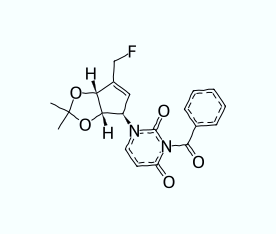 CC1(C)O[C@@H]2[C@H](O1)C(CF)=C[C@H]2n1ccc(=O)n(C(=O)c2ccccc2)c1=O